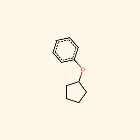 [c]1ccc(OC2C[CH]CC2)cc1